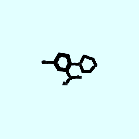 CC(=O)N(C(C)=O)c1cc(C(C)(C)C)ccc1N1CCOCC1